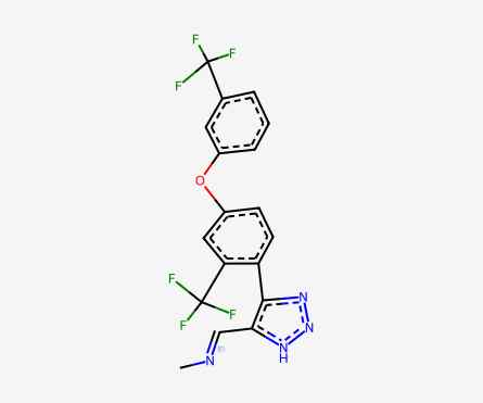 C/N=C/c1[nH]nnc1-c1ccc(Oc2cccc(C(F)(F)F)c2)cc1C(F)(F)F